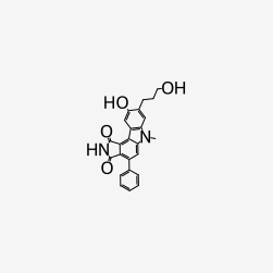 Cn1c2cc(CCCO)c(O)cc2c2c3c(c(-c4ccccc4)cc21)C(=O)NC3=O